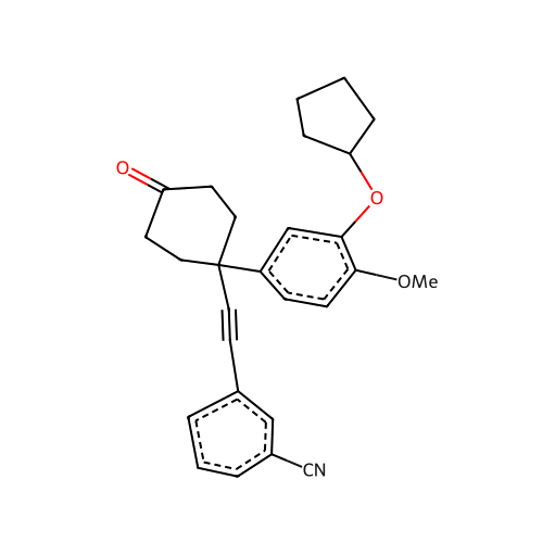 COc1ccc(C2(C#Cc3cccc(C#N)c3)CCC(=O)CC2)cc1OC1CCCC1